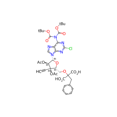 C#C[C@@]1(OC(C)=O)[C@@H](COC(Cc2ccccc2)(C(=O)O)C(=O)O)O[C@@H](n2cnc3c(N(C(=O)OC(C)(C)C)C(=O)OC(C)(C)C)nc(Cl)nc32)[C@@H]1OC(C)=O